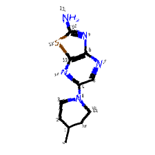 CC1CCN(c2cnc3nc(N)sc3n2)CC1